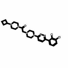 O=C(CN1CCN(c2ccc(-c3cccc(Cl)c3Cl)nn2)CC1)N1CCN(C2CCC2)CC1